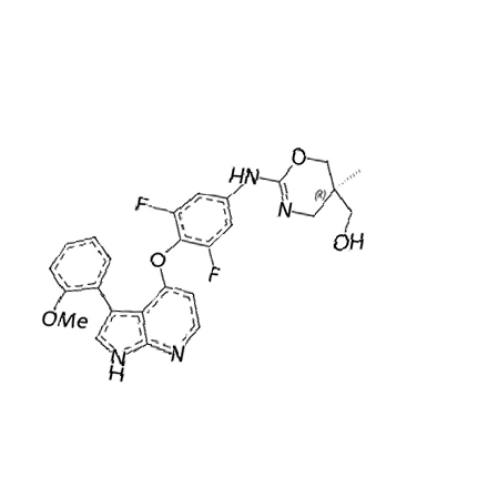 COc1ccccc1-c1c[nH]c2nccc(Oc3c(F)cc(NC4=NC[C@](C)(CO)CO4)cc3F)c12